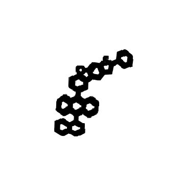 c1ccc(C2Cc3cc4c(cc3S2)oc2ccc(-c3c5ccccc5c(-c5cccc6ccccc56)c5ccccc35)cc24)cc1